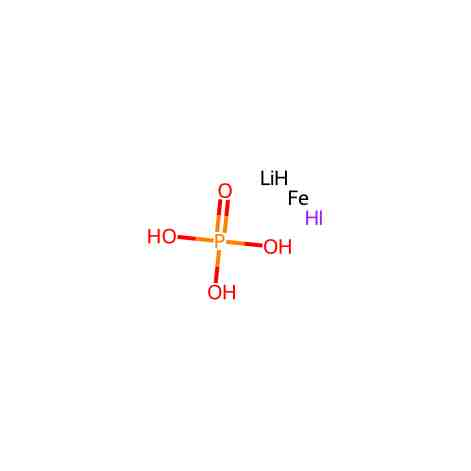 I.O=P(O)(O)O.[Fe].[LiH]